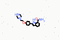 NC(=O)c1cccc2cc(-c3ccc(OCCN4CCNCC4)cc3)[nH]c12